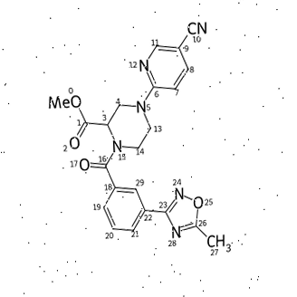 COC(=O)C1CN(c2ccc(C#N)cn2)CCN1C(=O)c1cccc(-c2noc(C)n2)c1